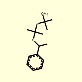 COC(C)(C)OC(C)(C)OC(C)c1ccccc1